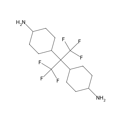 NC1CCC(C(C2CCC(N)CC2)(C(F)(F)F)C(F)(F)F)CC1